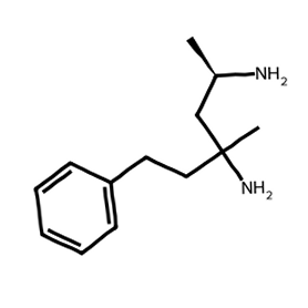 C[C@@H](N)CC(C)(N)CCc1ccccc1